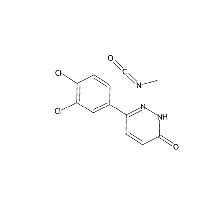 CN=C=O.O=c1ccc(-c2ccc(Cl)c(Cl)c2)n[nH]1